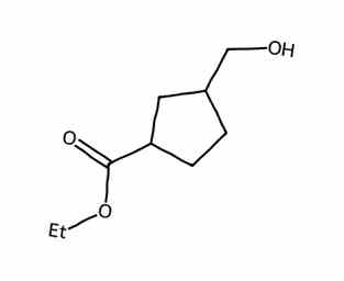 CCOC(=O)C1CCC(CO)C1